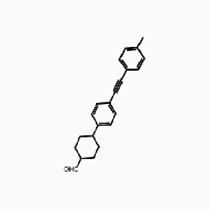 Cc1ccc(C#Cc2ccc(C3CCC(C=O)CC3)cc2)cc1